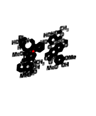 CC[C@]1(O)C[C@@H]2C[N@@](CCc3c([nH]c4ccccc34)[C@@](C(=O)OC)(c3cc4c(cc3OC)N(C)[C@H]3[C@@](O)(C(=O)OC)[C@H](OC(C)=O)[C@]5(CC)C=CCN6CC[C@]43[C@@H]65)C2)C1.COc1cc([C@@H]2c3cc4c(cc3C(O[C@@H]3O[C@@H]5CO[C@@H](C)O[C@H]5[C@H](O)[C@H]3O)C3COC(=O)[C@@H]32)OCO4)cc(OC)c1O